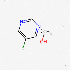 CO.Fc1cncnc1